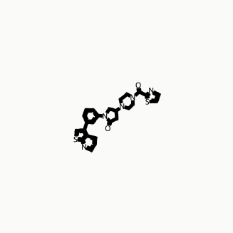 O=C(c1nccs1)N1CCN(C2CC(=O)N(c3cccc(-c4csc5ncccc45)c3)C2)CC1